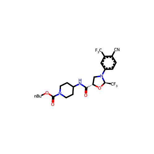 CCCCOC(=O)N1CCC(NC(=O)[C@@H]2CN(c3ccc(C#N)c(C(F)(F)F)c3)[C@@H](C(F)(F)F)O2)CC1